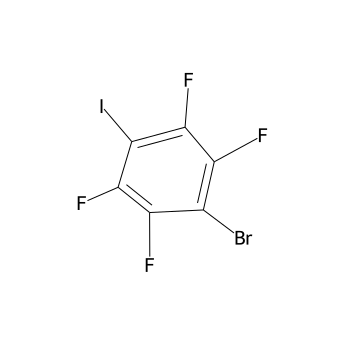 Fc1c(F)c(I)c(F)c(F)c1Br